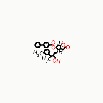 Cc1cccc([C@@H](C)C(/C=C/[C@H]2C(OC(=O)c3ccc(-c4ccccc4)cc3)C[C@@H]3OC(=O)C[C@@H]32)CO)c1